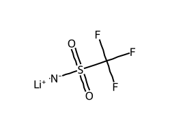 [Li+].[N-]S(=O)(=O)C(F)(F)F